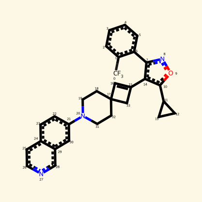 FC(F)(F)c1ccccc1-c1noc(C2CC2)c1C1=CC2(CCN(c3ccc4ccncc4c3)CC2)C1